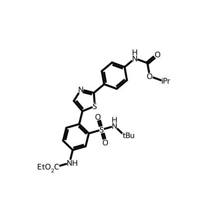 CCOC(=O)Nc1ccc(-c2cnc(-c3ccc(NC(=O)OC(C)C)cc3)s2)c(S(=O)(=O)NC(C)(C)C)c1